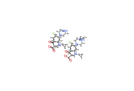 O=C([O-])c1cn(C2CC2)c2cc(N3CCNCC3)c(F)cc2c1=O.O=C([O-])c1cn(C2CC2)c2cc(N3CCNCC3)c(F)cc2c1=O.[Ca+2]